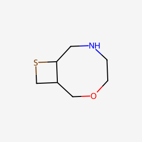 C1COCC2CSC2CN1